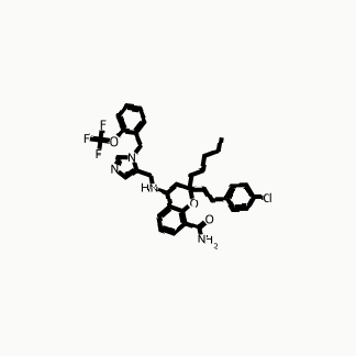 CCCCCC1(CCc2ccc(Cl)cc2)CC(NCc2cncn2Cc2ccccc2OC(F)(F)F)c2cccc(C(N)=O)c2O1